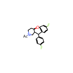 CC(=O)N1CCC(=O)C(C(c2ccc(F)cc2)c2ccc(F)cc2)C1